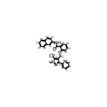 Cn1nc(-c2ccccn2)c(CSc2ccccc2C(=O)Nc2ccc3ccccc3c2)c1Cl